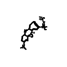 CN(C)c1ccc2nc3ccc(N([11CH3])[11CH3])cc3[s+]c2c1